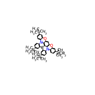 C[Si](C)(C)c1ccc2c(c1)B1c3cc([Si](C)(C)C)ccc3-n3c4ccc([Si](C)(C)C)cc4oc4cc5oc6cc([Si](C)(C)C)ccc6n-2c5c1c43